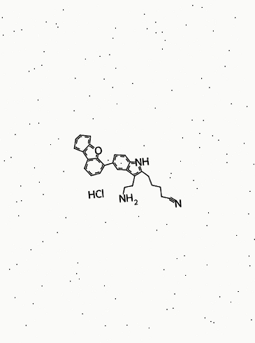 Cl.N#CCCCCc1[nH]c2ccc(-c3cccc4c3oc3ccccc34)cc2c1CCN